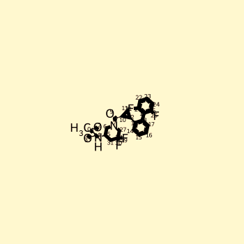 CS(=O)(=O)N[C@@H]1CN(C(=O)[C@@H]2C[C@H]2c2ccccc2-c2c(F)cccc2F)CC(F)(F)C1